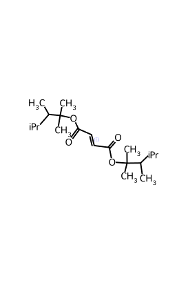 CC(C)C(C)C(C)(C)OC(=O)/C=C/C(=O)OC(C)(C)C(C)C(C)C